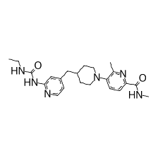 CCNC(=O)Nc1cc(CC2CCN(c3ccc(C(=O)NC)nc3C)CC2)ccn1